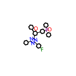 O=P(c1ccccc1)(c1ccccc1)c1ccc(-c2cc(-c3nc(-c4ccccc4)nc(-c4ccc(F)cc4)n3)cc3c2oc2ccccc23)cc1